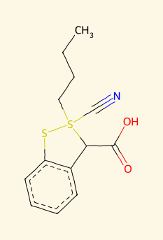 CCCCS1(C#N)Sc2ccccc2C1C(=O)O